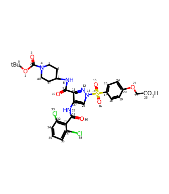 CC(C)(C)OC(=O)N1CCC(NC(=O)c2nn(S(=O)(=O)c3ccc(OCC(=O)O)cc3)cc2NC(=O)c2c(Cl)cccc2Cl)CC1